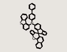 c1ccc(-c2ccc(N(c3ccc4c(c3)C3(c5ccccc5Oc5c3ccc3ccccc53)c3ccccc3-4)c3cccc4sc5ccccc5c34)cc2)cc1